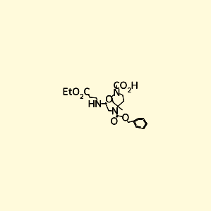 CCOC(=O)CCNC(=O)CN(C(=O)OCc1ccccc1)C1(C)CCN(C(=O)O)CC1